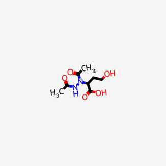 CC(=O)NN(C(C)=O)C(CCO)C(=O)O